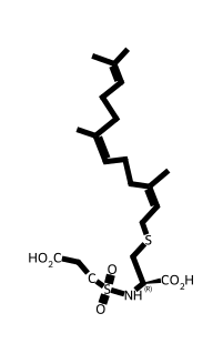 CC(C)=CCCC(C)=CCCC(C)=CCSC[C@H](NS(=O)(=O)CCC(=O)O)C(=O)O